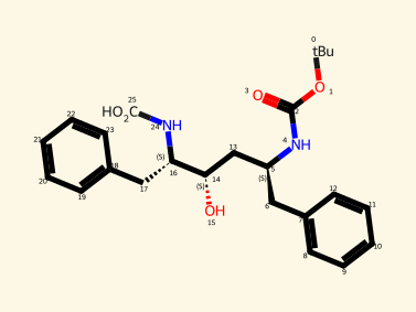 CC(C)(C)OC(=O)N[C@@H](Cc1ccccc1)C[C@H](O)[C@H](Cc1ccccc1)NC(=O)O